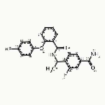 CC(NC(=O)c1cccnc1Oc1ccc(F)cc1)c1ccc(C(N)=O)cc1F